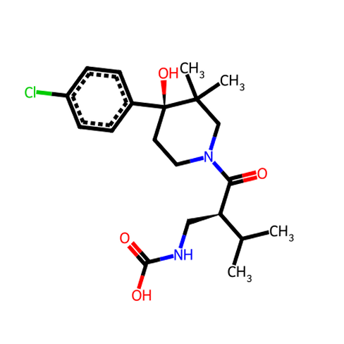 CC(C)[C@@H](CNC(=O)O)C(=O)N1CC[C@](O)(c2ccc(Cl)cc2)C(C)(C)C1